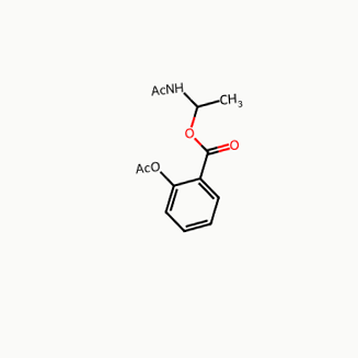 CC(=O)NC(C)OC(=O)c1ccccc1OC(C)=O